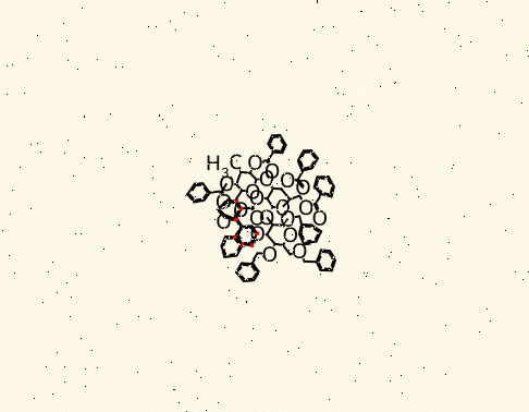 C[C@@H]1C(OC(=O)c2ccccc2)[C@@H](O[C@@H]2C(OC(=O)c3ccccc3)[C@@H](OC3[C@@H](OCc4ccccc4)OC(COCc4ccccc4)[C@@H](OCc4ccccc4)[C@@H]3OCc3ccccc3)OC(COC(=O)c3ccccc3)[C@H]2OC(=O)c2ccccc2)OC(COC(=O)c2ccccc2)[C@H]1OC(=O)c1ccccc1